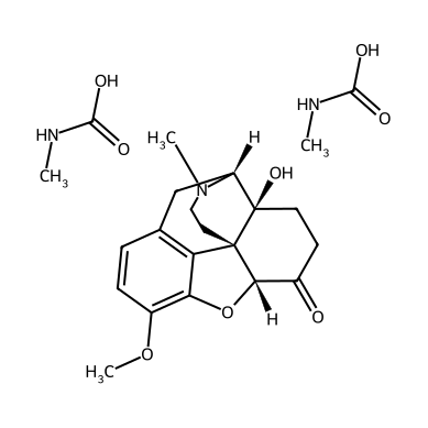 CNC(=O)O.CNC(=O)O.COc1ccc2c3c1O[C@H]1C(=O)CC[C@@]4(O)[C@@H](C2)N(C)CC[C@]314